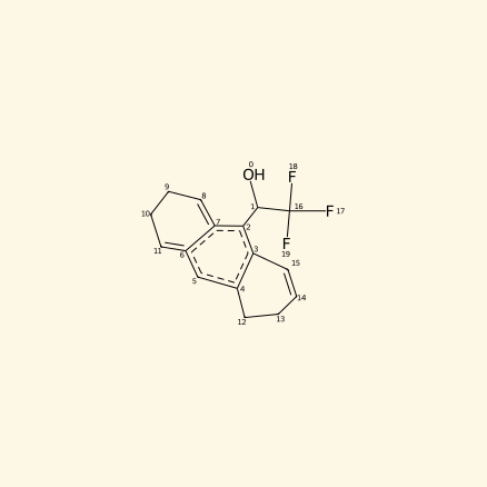 OC(c1c2c(cc3c1=CCCC=3)CCC=C2)C(F)(F)F